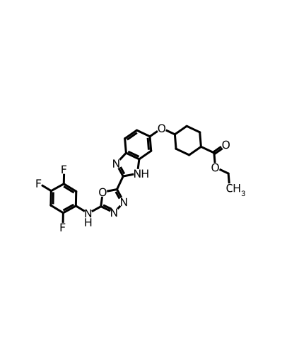 CCOC(=O)C1CCC(Oc2ccc3nc(-c4nnc(Nc5cc(F)c(F)cc5F)o4)[nH]c3c2)CC1